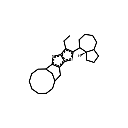 CCc1c(C2CCCCC3CCC[C@@H]32)sc2c3c(sc12)C1CCCCCCCC(C3)C1